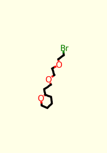 BrCCOCCOCCC1CCCCO1